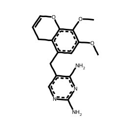 COc1cc(Cc2cnc(N)nc2N)c2c(c1OC)OC=CC2